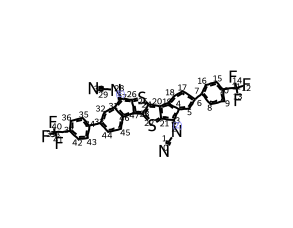 N#C/N=c1/c2cc(-c3ccc(C(F)(F)F)cc3)ccc2c2c1sc1c2sc2/c(=N/C#N)c3cc(-c4ccc(C(F)(F)F)cc4)ccc3c21